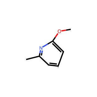 COc1c[c]cc(C)n1